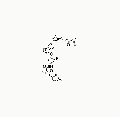 O=C(OCCn1cc(-c2cc3nccc(Oc4ccc(NC(=O)C5(C(=O)Nc6ccc(F)cc6)CC5)cc4F)c3s2)cn1)C1CCCN1